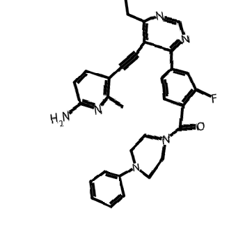 CCc1ncnc(-c2ccc(C(=O)N3CCN(c4ccccc4)CC3)c(F)c2)c1C#Cc1ccc(N)nc1C